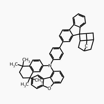 CC1(C)CCC(C)(C)c2cc(N(c3ccc(-c4ccc5c(c4)C4(c6ccccc6-5)C5CC6CC7CC4C75C6)cc3)c3cccc4oc5ccccc5c34)ccc21